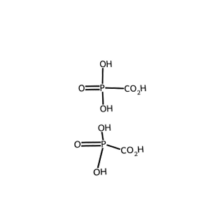 O=C(O)P(=O)(O)O.O=C(O)P(=O)(O)O